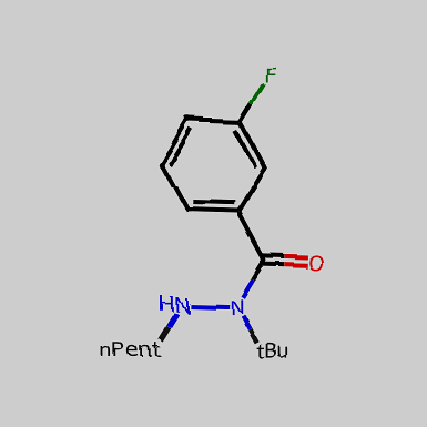 CCCCCNN(C(=O)c1cccc(F)c1)C(C)(C)C